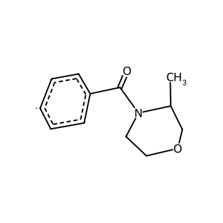 CC1COCCN1C(=O)c1cc[c]cc1